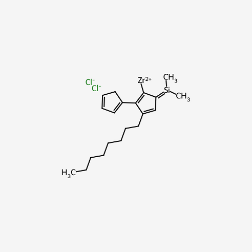 CCCCCCCCC1=CC(=[Si](C)C)[C]([Zr+2])=C1C1=CC=CC1.[Cl-].[Cl-]